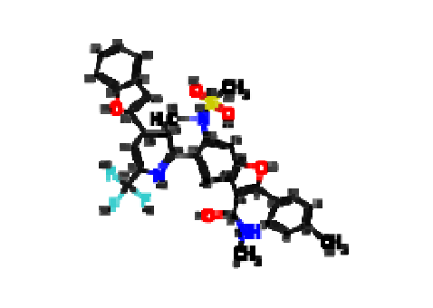 CNC(=O)c1c(-c2ccc(C)cc2)oc2cc(N(C)S(C)(=O)=O)c(-c3cc(-c4cc5ccccc5o4)cc(C(F)(F)F)n3)cc12